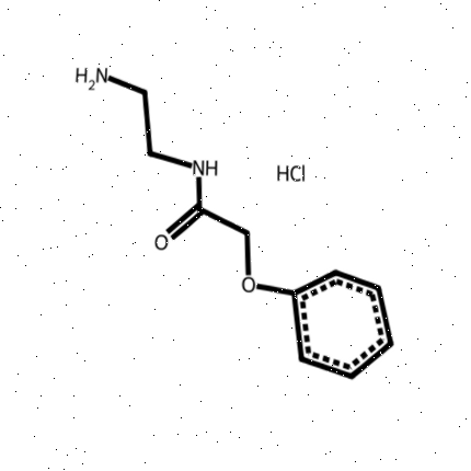 Cl.NCCNC(=O)COc1ccccc1